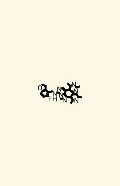 Cc1ccc(-c2ncn3c(NCc4c(F)ccc5c4CCO5)ncc(-c4cnc(C)nc4C)c23)c(C)n1